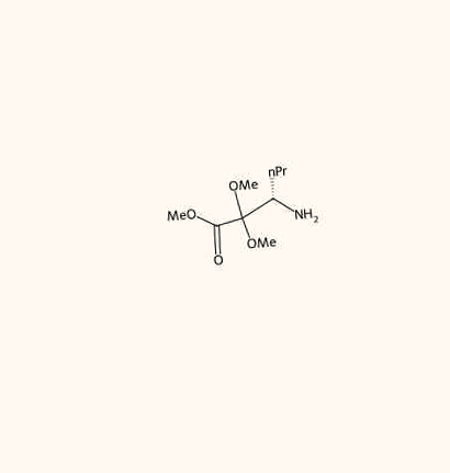 CCC[C@H](N)C(OC)(OC)C(=O)OC